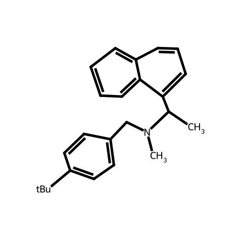 CC(c1cccc2ccccc12)N(C)Cc1ccc(C(C)(C)C)cc1